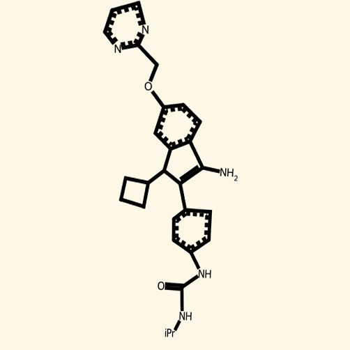 CC(C)NC(=O)Nc1ccc(C2=C(N)c3ccc(OCc4ncccn4)cc3C2C2CCC2)cc1